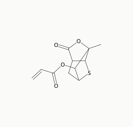 C=CC(=O)OC1C2CC3C(=O)OC1(C)C3S2